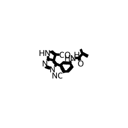 C=C(C)C(=O)Nc1ccc(C#N)c(-c2ncnc3[nH]cc(C(=O)O)c23)c1